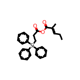 CCC=C(C)C(=O)OC(=O)CC[Si](c1ccccc1)(c1ccccc1)c1ccccc1